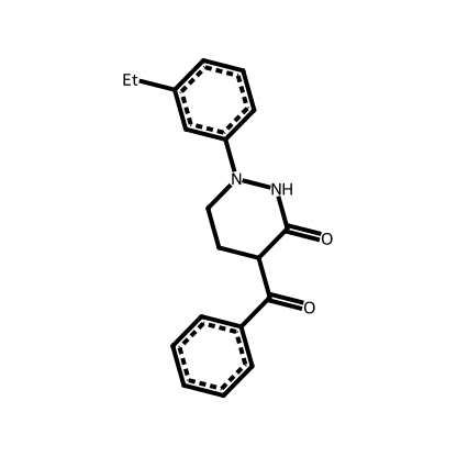 CCc1cccc(N2CCC(C(=O)c3ccccc3)C(=O)N2)c1